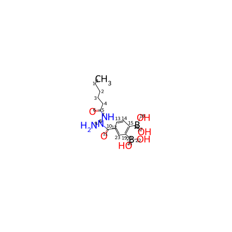 CCCCCC(=O)NN(N)C(=O)c1ccc(B(O)O)c(B(O)O)c1